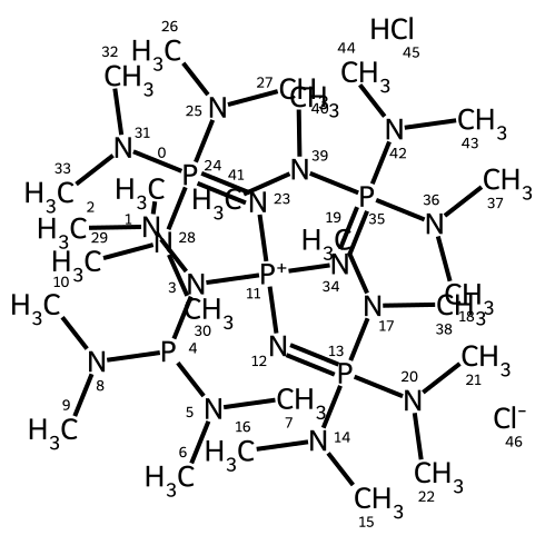 CN(C)N(P(N(C)C)N(C)C)[P+](N=P(N(C)C)(N(C)C)N(C)C)(N=P(N(C)C)(N(C)C)N(C)C)N=P(N(C)C)(N(C)C)N(C)C.Cl.[Cl-]